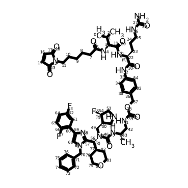 CC(C)[C@H](NC(=O)CCCCCN1C(=O)C=CC1=O)C(=O)N[C@@H](CCCNC(N)=O)C(=O)Nc1ccc(COC(=O)NC[C@H](C)NC(=O)N(C[C@@H]2CNC[C@@H]2F)[C@@H](c2nc(-c3cc(F)ccc3F)cn2Cc2ccccc2)C2CCOCC2)cc1